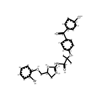 CC(C)(Oc1ccc(C(=O)c2ccc(Cl)cc2)cc1)C(=O)NC1=NCC(COc2ccccc2Br)O1